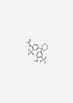 COc1ccc(C2(c3ccc(OC(C)=O)c(C(F)(F)F)c3)CCCCC2)cc1C(F)(F)F